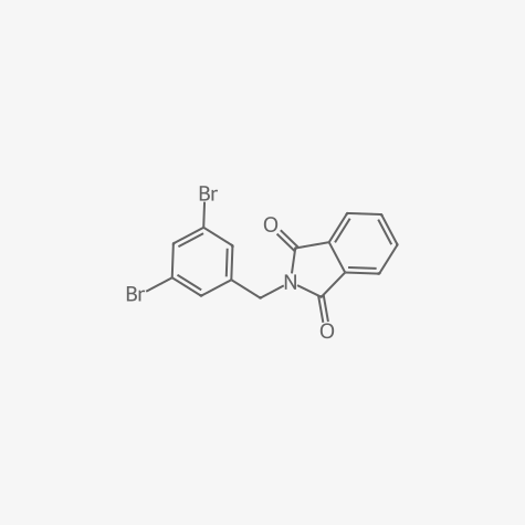 O=C1c2ccccc2C(=O)N1Cc1cc(Br)cc(Br)c1